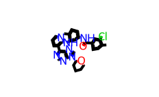 Cc1ccc(C(=O)Nc2ccc(C)c(Nc3ncccc3-c3ncnc4c3ncn4C3CCCCO3)c2)cc1Cl